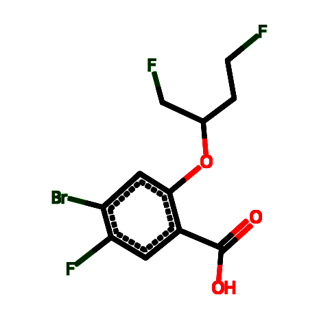 O=C(O)c1cc(F)c(Br)cc1OC(CF)CCF